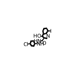 O=C(NNc1ccc(Cl)cc1)c1cnc2c(I)cccc2c1O